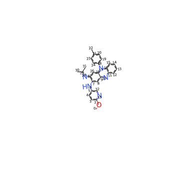 COc1ccc(Nc2cc3nc4ccccc4n(-c4ccc(C)cc4)c-3c/c2=N\C(C)C)cn1